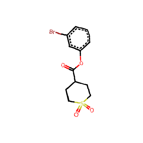 O=C(Oc1cccc(Br)c1)C1CCS(=O)(=O)CC1